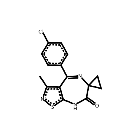 Cc1nsc2c1C(c1ccc(Cl)cc1)=NC1(CC1)C(=O)N2